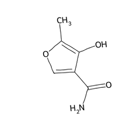 Cc1occ(C(N)=O)c1O